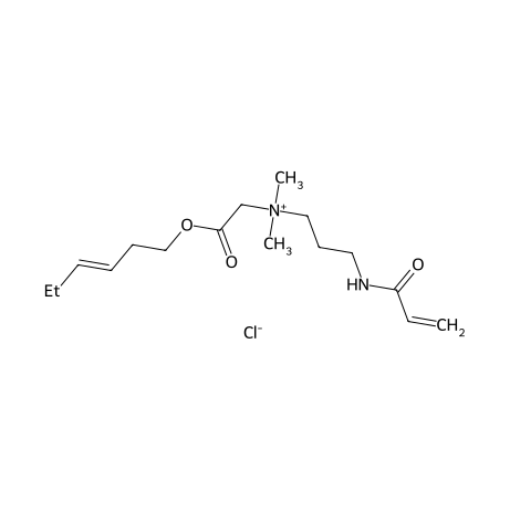 C=CC(=O)NCCC[N+](C)(C)CC(=O)OCCC=CCC.[Cl-]